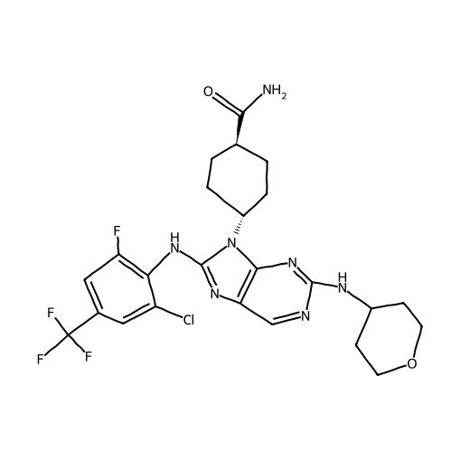 NC(=O)[C@H]1CC[C@H](n2c(Nc3c(F)cc(C(F)(F)F)cc3Cl)nc3cnc(NC4CCOCC4)nc32)CC1